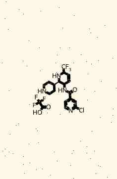 O=C(NC1C=CC(C(F)(F)F)N[C@@H]1C1CCNCC1)c1ccnc(Cl)c1.O=C(O)C(F)(F)F